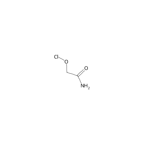 NC(=O)COCl